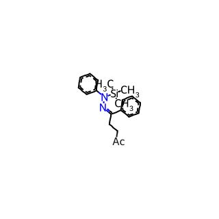 CC(=O)CCC(=NN(c1ccccc1)[Si](C)(C)C)c1ccccc1